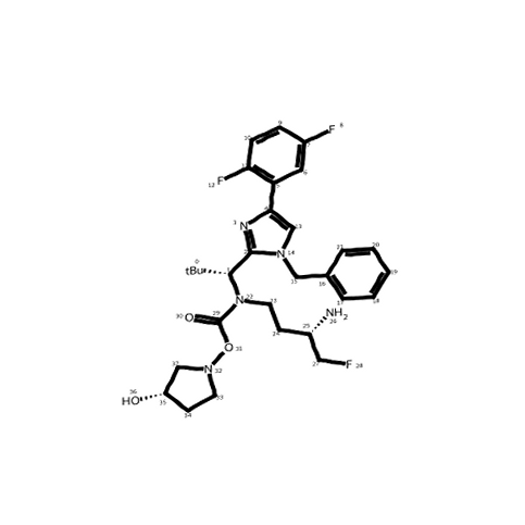 CC(C)(C)[C@H](c1nc(-c2cc(F)ccc2F)cn1Cc1ccccc1)N(CC[C@H](N)CF)C(=O)ON1CC[C@H](O)C1